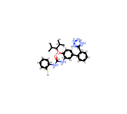 CC(C)C(Oc1ccc(-c2ccccc2-c2nnn[nH]2)cc1NC(=O)Nc1ccccc1F)C(C)C